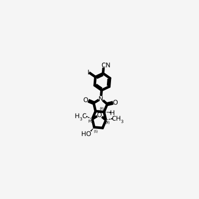 C[C@]12C[C@H](O)[C@](C)(O1)C1C(=O)N(c3ccc(C#N)c(I)c3)C(=O)[C@H]12